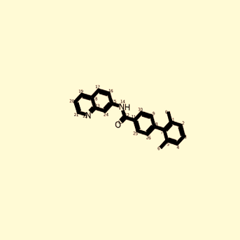 Cc1cccc(C)c1-c1ccc(C(=O)Nc2ccc3cccnc3c2)cc1